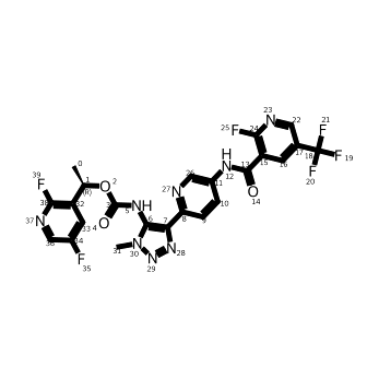 C[C@@H](OC(=O)Nc1c(-c2ccc(NC(=O)c3cc(C(F)(F)F)cnc3F)cn2)nnn1C)c1cc(F)cnc1F